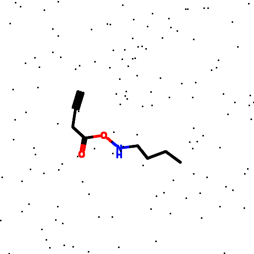 C#CCC(=O)ONCCCC